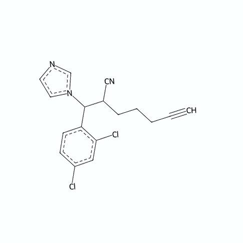 C#CCCCC(C#N)C(c1ccc(Cl)cc1Cl)n1ccnc1